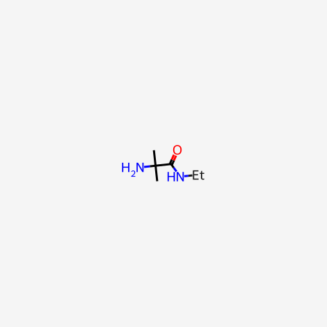 CCNC(=O)C(C)(C)N